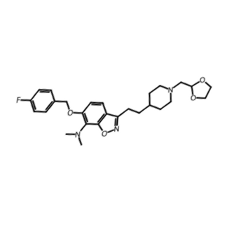 CN(C)c1c(OCc2ccc(F)cc2)ccc2c(CCC3CCN(CC4OCCO4)CC3)noc12